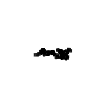 CCNC(=O)C[C@@H]1N=C(c2ccc(Cl)cc2)c2cc(OCC(=O)NCc3cccc(C4CCN(C(=O)c5cccc6sc([Si](C)(C)O)cc56)CC4)c3)ccc2-n2c(C)nnc21